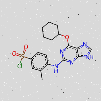 Cc1cc(S(=O)(=O)Cl)ccc1Nc1nc(OC2CCCCC2)c2nc[nH]c2n1